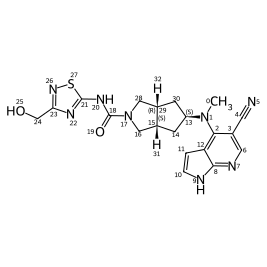 CN(c1c(C#N)cnc2[nH]ccc12)[C@H]1C[C@@H]2CN(C(=O)Nc3nc(CO)ns3)C[C@@H]2C1